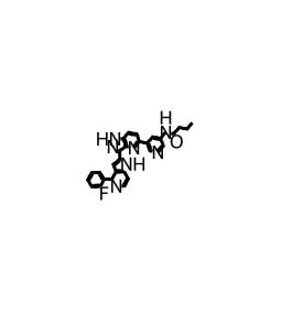 CCCC(=O)Nc1cncc(-c2ccc3[nH]nc(-c4cc5c(-c6ccccc6F)nccc5[nH]4)c3n2)c1